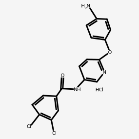 Cl.Nc1ccc(Oc2ccc(NC(=O)c3ccc(Cl)c(Cl)c3)cn2)cc1